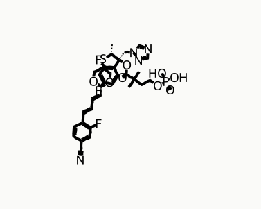 C[C@@H](S[C@H]1CO[C@H](/C=C/C=C/c2ccc(C#N)cc2F)OC1)[C@@](Cn1cncn1)(OC(=O)C(C)(C)CCOP(=O)(O)O)c1ccc(F)cc1F